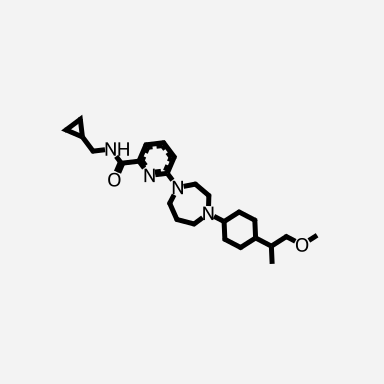 COCC(C)C1CCC(N2CCCN(c3cccc(C(=O)NCC4CC4)n3)CC2)CC1